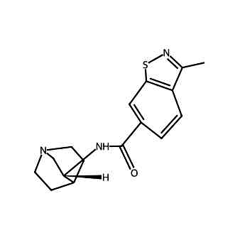 Cc1nsc2cc(C(=O)N[C@H]3CN4CCC3CC4)ccc12